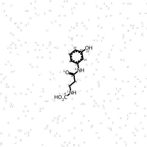 O=C(O)NCCC(=O)Nc1cccc(O)c1